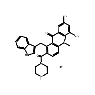 CN(C)c1ccc(C(=O)N2CCNCC2)c(Cc2c[nH]c3ccccc23)c1C(=O)c1cc(C(F)(F)F)cc(C(F)(F)F)c1.Cl